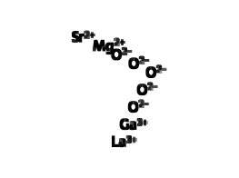 [Ga+3].[La+3].[Mg+2].[O-2].[O-2].[O-2].[O-2].[O-2].[Sr+2]